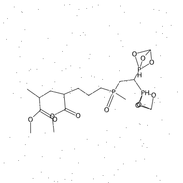 COC(=O)C(C)CC(CCCP(C)(=O)CC([PH]12OC(O1)O2)[PH]12OC(O1)O2)C(=O)OC